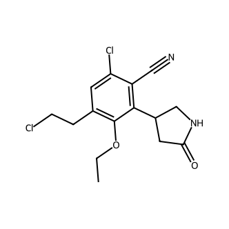 CCOc1c(CCCl)cc(Cl)c(C#N)c1C1CNC(=O)C1